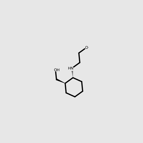 [O]CCN[C@@H]1CCCC[C@H]1CO